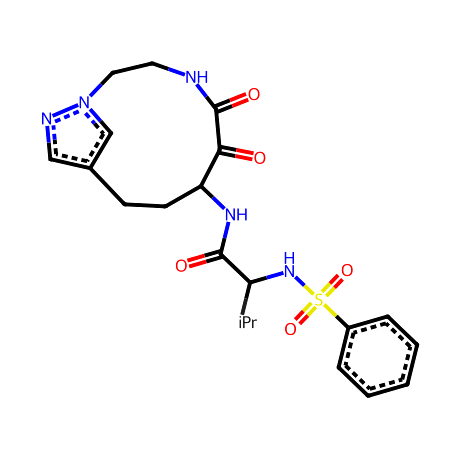 CC(C)C(NS(=O)(=O)c1ccccc1)C(=O)NC1CCc2cnn(c2)CCNC(=O)C1=O